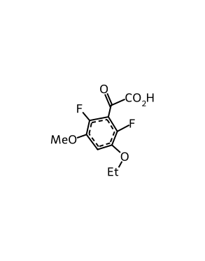 CCOc1cc(OC)c(F)c(C(=O)C(=O)O)c1F